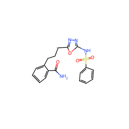 NC(=O)c1ccccc1CC[CH]c1nnc(NS(=O)(=O)c2ccccc2)o1